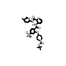 Cc1ccc(NC(=O)c2ncccc2NC(=O)c2ccc(S(C)(=O)=O)cc2OC2CCN(C(=O)OC(C)(C)C)CC2)nc1